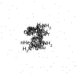 CCCCCCC(=O)N[C@@H](CCN)C(=O)N[C@H](C(=O)N[C@@H](CCN)C(=O)N[C@H](Cc1ccccc1)C(=O)N[C@@H](CC(C)C)C(=O)N[C@@H](CCN)C(=O)N[C@@H](C(=O)N[C@@H](CC(C)C)C(=O)N[C@@H](CO)C(N)=O)C(C)C)[C@@H](C)CC